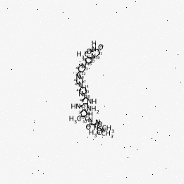 Cc1cc(C(=N)C2=C(N)NCC(c3ccc(N4CCN(CC5CCN(c6ccc(N7CCC(=O)NC7=O)c(C)c6)CC5)CC4)cn3)=C2)ccc1CNC(=O)c1noc(C(C)(C)C)n1